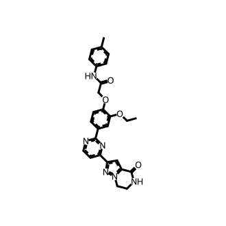 CCOc1cc(-c2nccc(-c3cc4n(n3)CCNC4=O)n2)ccc1OCC(=O)Nc1ccc(C)cc1